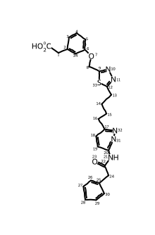 O=C(O)Cc1cccc(OCc2nnc(CCCCc3ccc(NC(=O)Cc4ccccc4)nn3)s2)c1